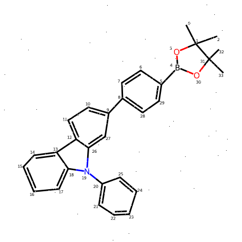 CC1(C)OB(c2ccc(-c3ccc4c5ccccc5n(-c5ccccc5)c4c3)cc2)OC1(C)C